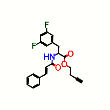 C#CCCOC(=O)[C@H](Cc1cc(F)cc(F)c1)NC(=O)/C=C/c1ccccc1